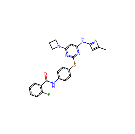 CC1=CC(Nc2cc(N3CCC3)nc(Sc3ccc(NC(=O)c4ccccc4F)cc3)n2)=N1